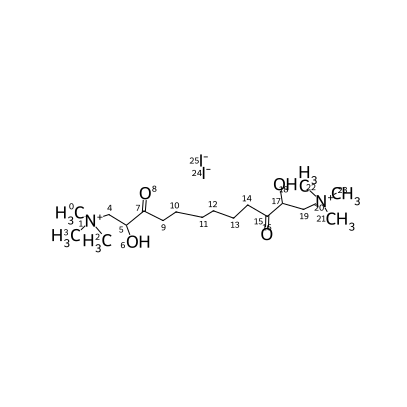 C[N+](C)(C)CC(O)C(=O)CCCCCCC(=O)C(O)C[N+](C)(C)C.[I-].[I-]